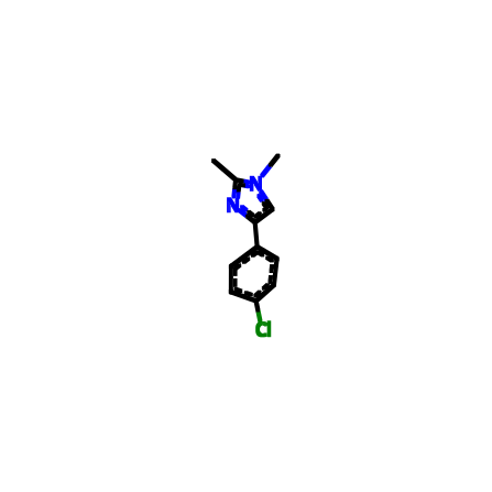 Cc1nc(-c2ccc(Cl)cc2)cn1C